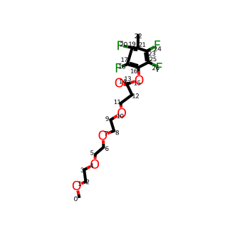 COCCOCCOCCOCCC(=O)Oc1c(F)c(F)c(C)c(F)c1F